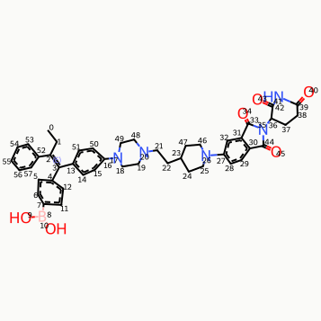 CC/C(=C(/c1ccc(B(O)O)cc1)c1ccc(N2CCN(CCC3CCN(c4ccc5c(c4)C(=O)N(C4CCC(=O)NC4=O)C5=O)CC3)CC2)cc1)c1ccccc1